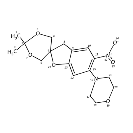 CC1(C)OCC2(CO1)Cc1cc([N+](=O)[O-])c(N3CCOCC3)cc1O2